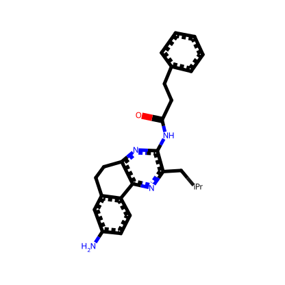 CC(C)Cc1nc2c(nc1NC(=O)CCc1ccccc1)CCc1cc(N)ccc1-2